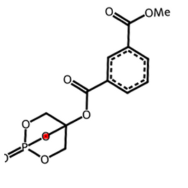 COC(=O)c1cccc(C(=O)OC23COP(=O)(OC2)OC3)c1